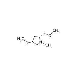 COC[C@H]1CC(OC)CN1C